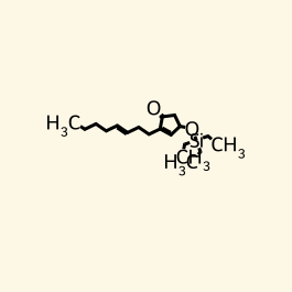 CCCCC=CCCC1=CC(O[Si](CC)(CC)CC)CC1=O